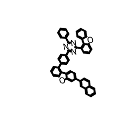 c1ccc(-c2nc(-c3ccc(-c4cccc5oc6cc(-c7ccc8ccccc8c7)ccc6c45)cc3)nc(-c3cccc4oc5ccccc5c34)n2)cc1